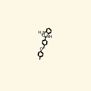 Cc1ccc(OCc2ccc(C(=O)Nc3ccccc3N)cc2)cc1